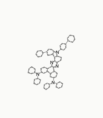 c1ccc(-c2ccc(-n3c4ccc(-c5ccccc5)cc4c4c5nc6c7ccc(N(c8ccccc8)c8ccccc8)cc7c7cc(N(c8ccccc8)c8ccccc8)ccc7c6nc5ccc43)cc2)cc1